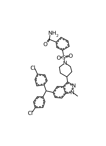 Cn1nc(C2CCN(S(=O)(=O)c3cccc(C(N)=O)c3)CC2)c2cc(C(c3ccc(Cl)cc3)c3ccc(Cl)cc3)ccc21